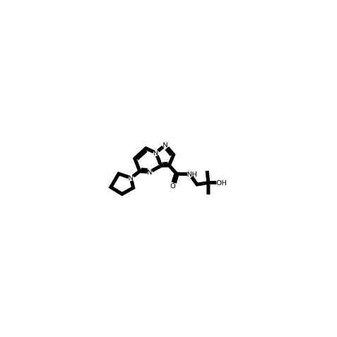 CC(C)(O)CNC(=O)c1cnn2ccc(N3CCCC3)nc12